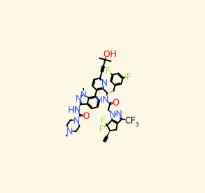 C#C[C@@H]1Cc2c(C(F)(F)F)nn(CC(=O)N[C@@H](Cc3cc(F)cc(F)c3)c3nc(C#CC(C)(C)O)ccc3-c3cccc4c(NC(=O)N5CCN(C)CC5)nn(C)c34)c2C1(F)F